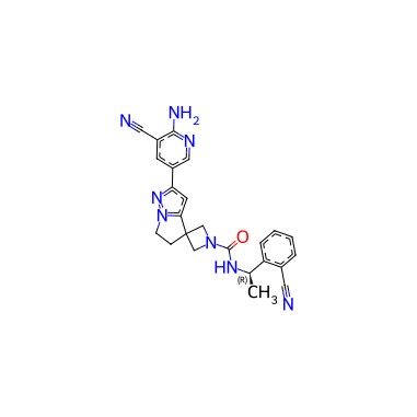 C[C@@H](NC(=O)N1CC2(CCn3nc(-c4cnc(N)c(C#N)c4)cc32)C1)c1ccccc1C#N